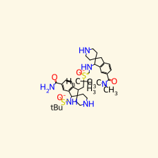 CN(C)C(=O)c1ccc2c(c1)C(NC[S+]([O-])C(C)(C)CC1c3ccc(C(N)=O)cc3C(N[S+]([O-])C(C)(C)C)C13CCNCC3)C1(CCNCC1)C2